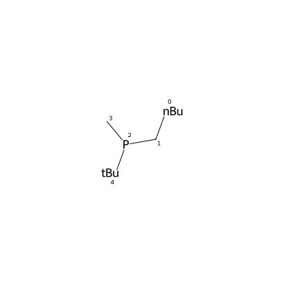 CCCCCP(C)C(C)(C)C